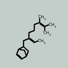 CC=C(CCCC(C)=C(C)C)CC1CC2C=CC1C2